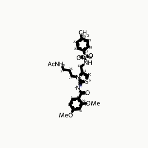 COc1ccc(C(=O)/N=c2\scc(CNS(=O)(=O)c3ccc(C)cc3)n2CCCNC(C)=O)c(OC)c1